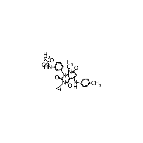 Cc1ccc(Nc2cc(=O)n(C)c3c2c(=O)n(C2CC2)c(=O)n3-c2cccc(NS(C)(=O)=O)c2)cc1